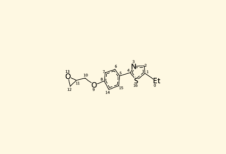 CCc1cnc(-c2ccc(OCC3CO3)cc2)s1